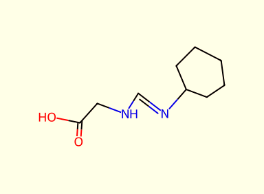 O=C(O)CNC=NC1CCCCC1